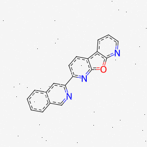 c1ccc2cc(-c3ccc4c(n3)oc3ncccc34)ncc2c1